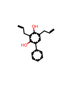 C=CCc1cc(-c2ccccc2)c(O)c(CC=C)c1O